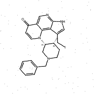 C[C@@H]1CCN(Cc2ccccc2)C[C@@H]1n1ccc(=O)c2cnc3[nH]cc(CI)c3c21